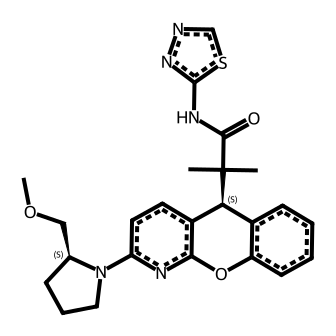 COC[C@@H]1CCCN1c1ccc2c(n1)Oc1ccccc1[C@@H]2C(C)(C)C(=O)Nc1nncs1